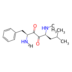 [2H]N[C@@H](Cc1ccccc1)C(=O)C(=O)[C@H](CC(C)C)NC